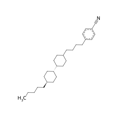 CCCCC[C@H]1CC[C@H](C2CCC(CCCCc3ccc(C#N)cc3)CC2)CC1